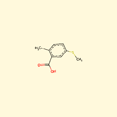 [CH2]c1ccc(SC)cc1C(=O)O